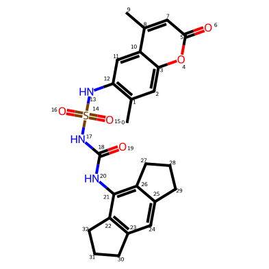 Cc1cc2oc(=O)cc(C)c2cc1NS(=O)(=O)NC(=O)Nc1c2c(cc3c1CCC3)CCC2